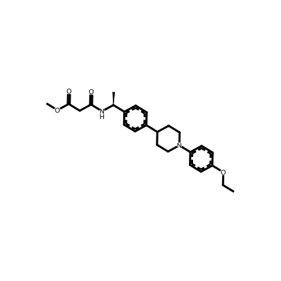 CCOc1ccc(N2CCC(c3ccc([C@H](C)NC(=O)CC(=O)OC)cc3)CC2)cc1